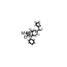 CCC(=O)N(c1ccccc1)[C@@H]1CCN(C(C)c2cccs2)C[C@@]1(C)OC